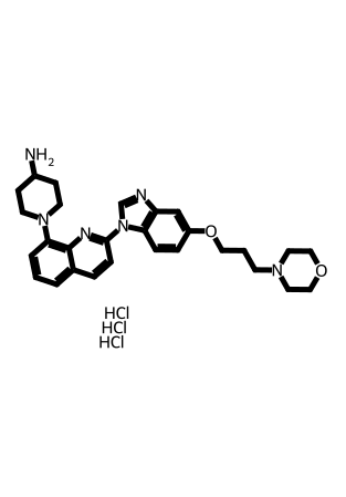 Cl.Cl.Cl.NC1CCN(c2cccc3ccc(-n4cnc5cc(OCCCN6CCOCC6)ccc54)nc23)CC1